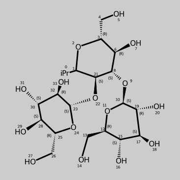 CC(C)C1O[C@H](CO)[C@@H](O)[C@H](O[C@@H]2O[C@H](CO)[C@@H](O)[C@H](O)[C@H]2O)[C@H]1O[C@@H]1O[C@H](CO)[C@@H](O)[C@H](O)[C@H]1O